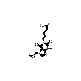 COCn1cnc2c1c(=O)n(CCCC[C@H](C)O)c(=O)n2C